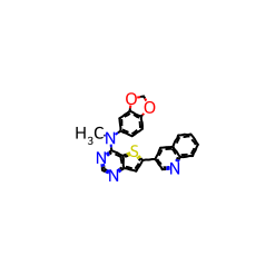 CN(c1ccc2c(c1)OCO2)c1ncnc2cc(-c3cnc4ccccc4c3)sc12